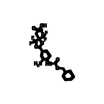 Bc1cc(C(=O)OC(CS(=O)(=O)O)(C(F)(F)F)C(F)(F)F)ccc1NC(=O)OCc1ccccc1